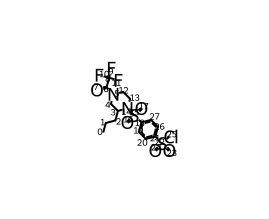 CCCC1CN(C(=O)C(F)(F)F)CCN1S(=O)(=O)c1ccc(S(=O)(=O)Cl)cc1